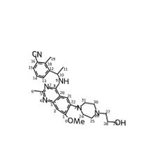 COc1cc2nc(C)nc(NC(C)c3cccc(C#N)c3C)c2cc1N1CCN(CCO)CC1